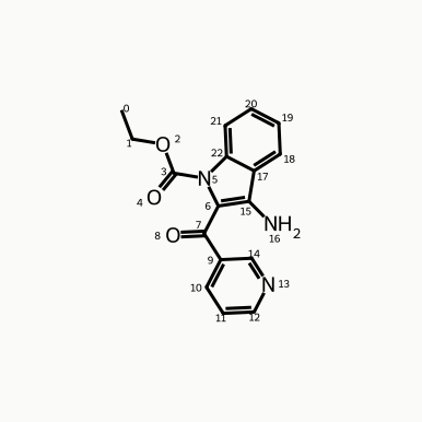 CCOC(=O)n1c(C(=O)c2cccnc2)c(N)c2ccccc21